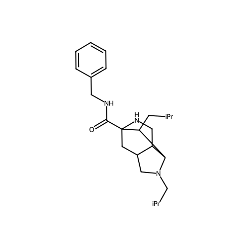 CC(C)CC1C2C3CNC1(C(=O)NCc1ccccc1)CC3CN2CC(C)C